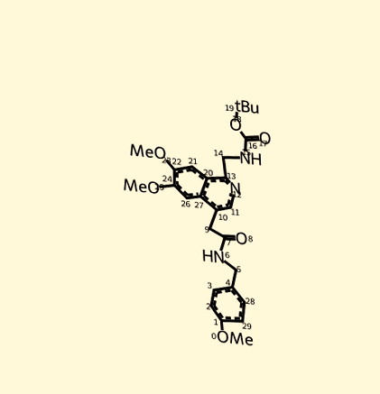 COc1ccc(CNC(=O)Cc2cnc(CNC(=O)OC(C)(C)C)c3cc(OC)c(OC)cc23)cc1